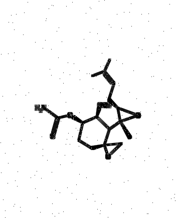 CO[C@H]1C([C@@]2(C)O[C@@H]2CC=C(C)C)[C@]2(CC[C@H]1OC(N)=O)CO2